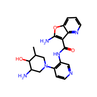 CC1CN(c2ccncc2NC(=O)c2c(N)oc3cccnc23)CC(N)C1O